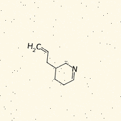 C=CCC1[C]N=CCC1